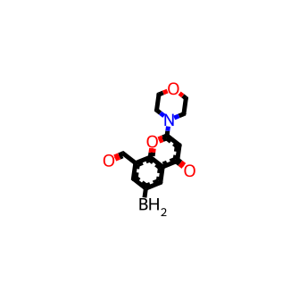 Bc1cc(C=O)c2oc(N3CCOCC3)cc(=O)c2c1